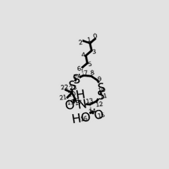 CC(C)CCCC[C@@H]1CCSSC[C@H](C(=O)O)NC(=O)C(C)(C)SS1